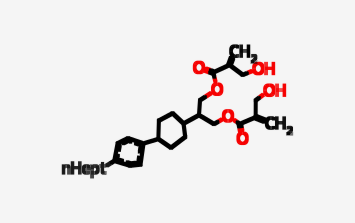 C=C(CO)C(=O)OCC(COC(=O)C(=C)CO)C1CCC(c2ccc(CCCCCCC)cc2)CC1